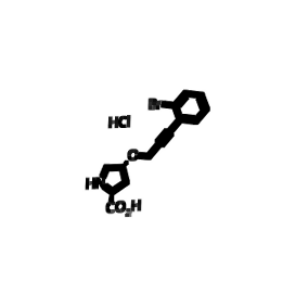 Cl.O=C(O)[C@@H]1C[C@@H](OCC#Cc2ccccc2Br)CN1